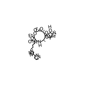 CC[C@H]1OC(=O)C(C)(F)C(=O)[C@@H](C)[C@@H](O[C@@H]2OC(C)CC(N(C)C)C2O)[C@](C)(OC)C[C@@H](C)CN[C@H](C)[C@H]2N(CCCCn3cc(-c4cccnn4)nn3)C(=O)O[C@]12C